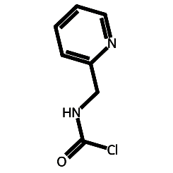 O=C(Cl)NCc1ccccn1